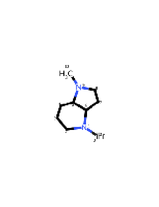 CC(C)N1CCCC2C1CCN2C